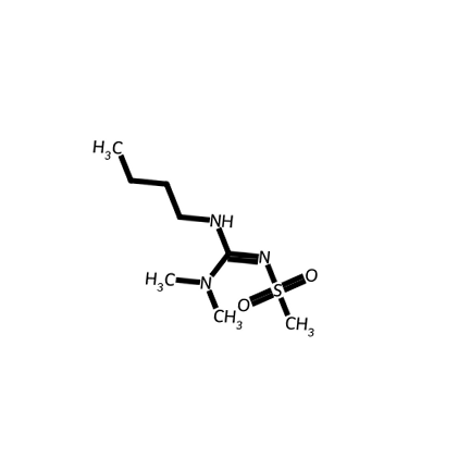 CCCCN/C(=N/S(C)(=O)=O)N(C)C